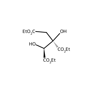 CCOC(=O)C[C@](O)(C(=O)OCC)[C@H](O)C(=O)OCC